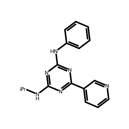 CC(C)Nc1nc(Nc2ccccc2)nc(-c2cccnc2)n1